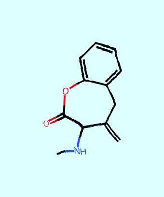 C=C1Cc2ccccc2OC(=O)C1NC